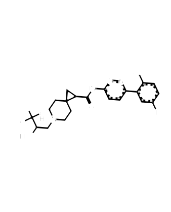 CC(CN1CCC2(CC1)CC2C(=O)Nc1ccc(-c2cc(F)ccc2Cl)nn1)C(C)(C)C